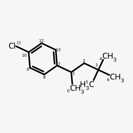 CC(CC(C)(C)C)c1ccc(Cl)cc1